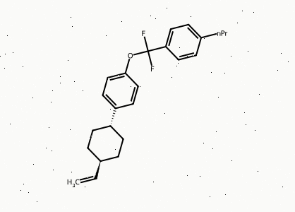 C=C[C@H]1CC[C@H](c2ccc(OC(F)(F)c3ccc(CCC)cc3)cc2)CC1